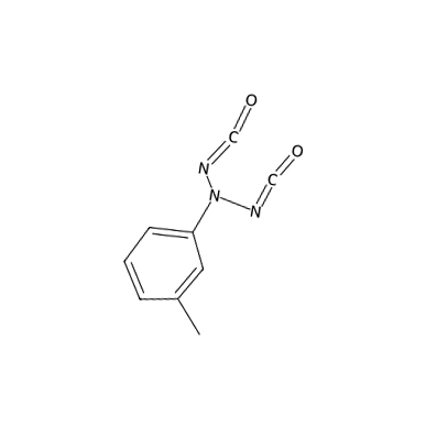 Cc1cccc(N(N=C=O)N=C=O)c1